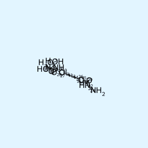 C[C@@H](O)[C@H](NC(=O)c1ccc(C#CC#Cc2ccc(C(=O)NCCN)cc2)cc1)C(=O)NO